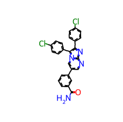 NC(=O)c1cccc(-c2cnc3nc(-c4ccc(Cl)cc4)c(-c4ccc(Cl)cc4)n3c2)c1